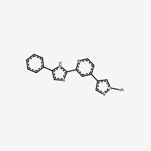 CCCn1cc(-c2ccnc(-c3ncc(-c4ccccc4)[nH]3)c2)cn1